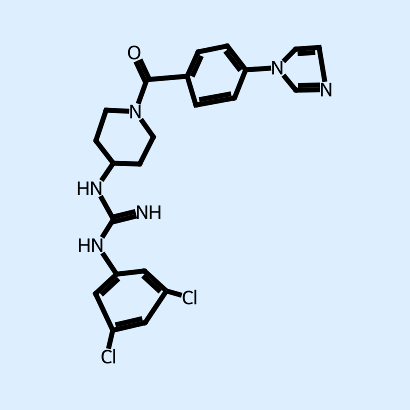 N=C(Nc1cc(Cl)cc(Cl)c1)NC1CCN(C(=O)c2ccc(-n3ccnc3)cc2)CC1